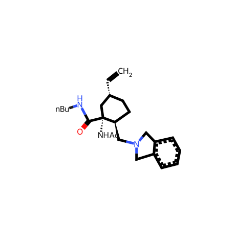 C=C[C@@H]1CC[C@@H](CN2Cc3ccccc3C2)[C@@](NC(C)=O)(C(=O)NCCCC)C1